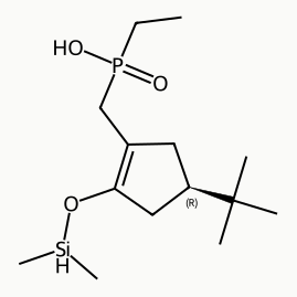 CCP(=O)(O)CC1=C(O[SiH](C)C)C[C@H](C(C)(C)C)C1